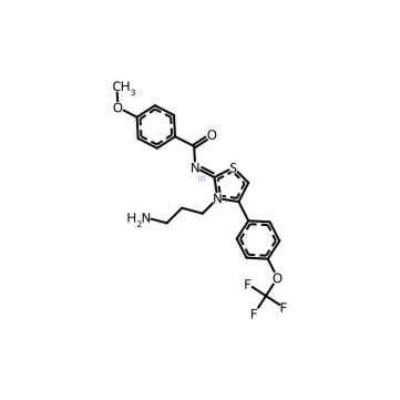 COc1ccc(C(=O)/N=c2\scc(-c3ccc(OC(F)(F)F)cc3)n2CCCN)cc1